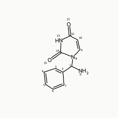 NC(c1cc[c]cc1)n1ccc(=O)[nH]c1=O